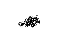 COC(=O)OCOc1c2n(ccc1=O)N([C@@H]1c3ccccc3SC(C3CC3)c3c1ccc(F)c3F)[C@@H]1COCCN1C2=O